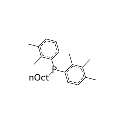 CCCCCCCCP(c1cccc(C)c1C)c1ccc(C)c(C)c1C